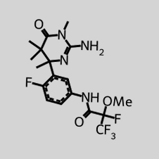 COC(F)(C(=O)Nc1ccc(F)c(C2(C)N=C(N)N(C)C(=O)C2(C)C)c1)C(F)(F)F